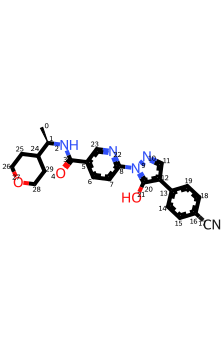 C[C@@H](NC(=O)c1ccc(-n2ncc(-c3ccc(C#N)cc3)c2O)nc1)C1CCOCC1